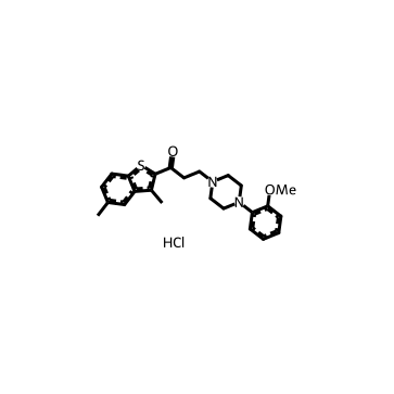 COc1ccccc1N1CCN(CCC(=O)c2sc3ccc(C)cc3c2C)CC1.Cl